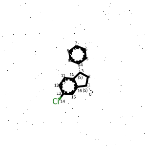 C[C@H]1C[C@@H](c2ccccc2)c2ccc(Cl)cc21